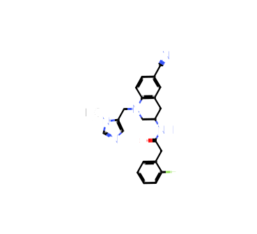 Cn1cncc1CN1CC(NC(=O)Cc2ccccc2F)Cc2cc(C#N)ccc21